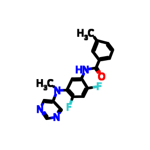 Cc1cccc(C(=O)Nc2cc(N(C)c3cncnc3)c(F)cc2F)c1